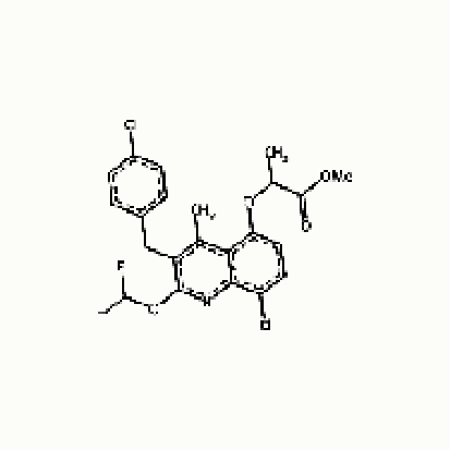 COC(=O)C(C)Oc1ccc(Cl)c2nc(OC(F)F)c(Cc3ccc(Cl)cc3)c(C)c12